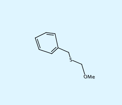 COCSCc1ccccc1